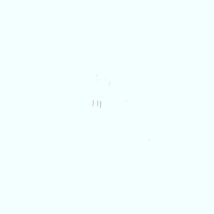 CCC1=Cc2ccccc2[CH]1[Hf]([CH3])([CH3])([CH3])(=[SiH2])([c]1ccccc1)[CH]1C(CC)=Cc2ccccc21